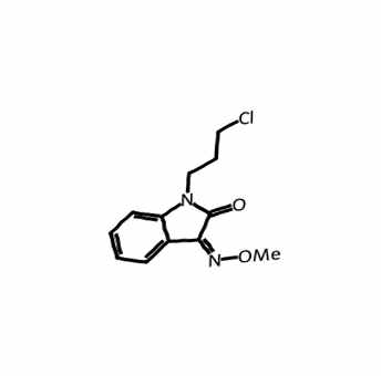 CON=C1C(=O)N(CCCCl)c2ccccc21